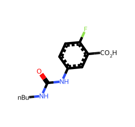 CCCCNC(=O)Nc1ccc(F)c(C(=O)O)c1